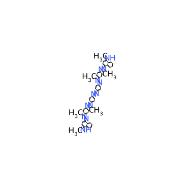 CNc1ccc(N=Nc2cc(C)c(N=Nc3ccc(N=Nc4ccc(N=Nc5cc(C)c(N=Nc6ccc(NC)c7ccccc67)cc5C)cc4)cc3)cc2C)c2ccccc12